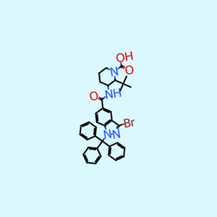 CC(C)(C)C1C(NC(=O)c2ccc3c(c2)c(Br)nn3C(c2ccccc2)(c2ccccc2)c2ccccc2)CCCN1C(=O)O